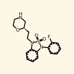 O=S1(=O)N(CC[C@@H]2CNCCO2)c2ccccc2N1c1ccccc1F